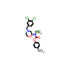 CN(C(=O)Oc1ccc([N+](=O)[O-])cc1)[C@@H]1CN(Cc2ccc(Cl)c(Cl)c2)CCO1.Cl